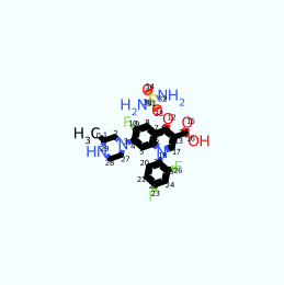 CC1CN(c2cc3c(cc2F)c(=O)c(C(=O)O)cn3-c2ccc(F)cc2F)CCN1.NS(N)(=O)=O